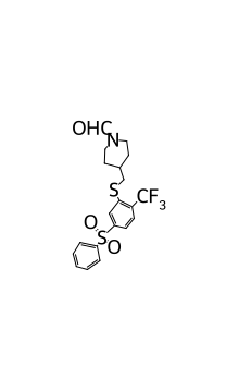 O=CN1CCC(CSc2cc(S(=O)(=O)c3ccccc3)ccc2C(F)(F)F)CC1